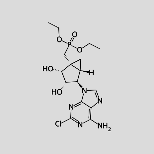 CCOP(=O)(C[C@]12C[C@@H]1[C@@H](n1cnc3c(N)nc(Cl)nc31)[C@H](O)[C@@H]2O)OCC